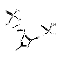 CC.CCC.CCc1nnc(C)o1.OP(O)(O)=S.OP(O)(O)=S